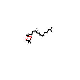 CC(C)CCC[C@@H](C)CCC[C@@H](C)CCCC1(C)OCC(C)(C)CO1